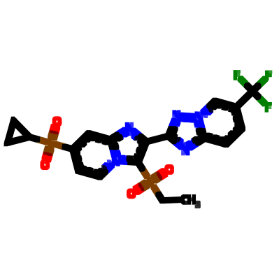 CCS(=O)(=O)c1c(-c2nc3ccc(C(F)(F)F)cn3n2)nc2cc(S(=O)(=O)C3CC3)ccn12